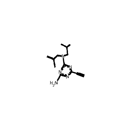 C#Cc1nc(N)nc(N(CC(C)C)CC(C)C)n1